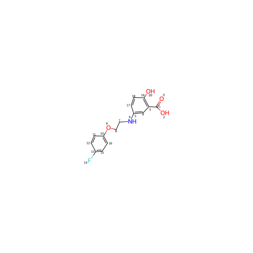 O=C(O)c1cc(NCCOc2ccc(F)cc2)ccc1O